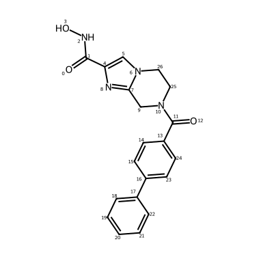 O=C(NO)c1cn2c(n1)CN(C(=O)c1ccc(-c3ccccc3)cc1)CC2